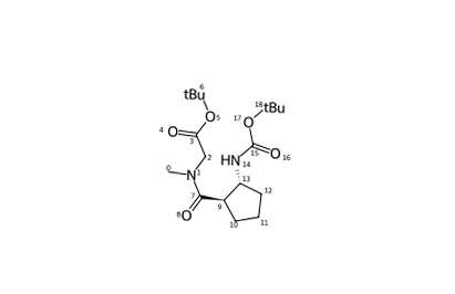 CN(CC(=O)OC(C)(C)C)C(=O)[C@@H]1CCC[C@H]1NC(=O)OC(C)(C)C